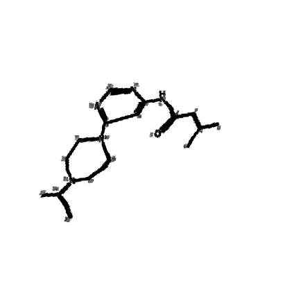 CC(C)CC(=O)Nc1cc(N2CCN(C(C)C)CC2)ncn1